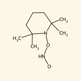 CC1(C)CCCC(C)(C)N1ON[O]